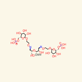 CO[C@H](O[C@@H](/C=N/OCCOC1O[C@H](COP(=O)(O)O)[C@@H](O)[C@H](O)[C@@H]1O)CO)[C@H](O)/C=N\OCCOC1O[C@H](COP(=O)(O)O)[C@@H](O)[C@H](O)[C@@H]1O